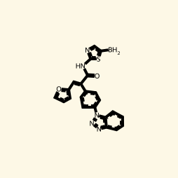 Bc1cnc(NC(=O)/C(=C/c2ccco2)c2ccc(-n3nnc4ccccc43)cc2)s1